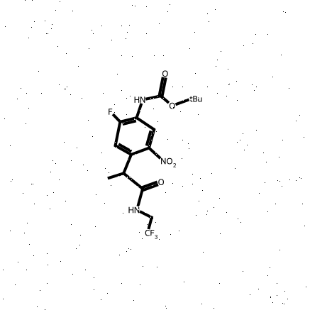 CC(C(=O)NCC(F)(F)F)c1cc(F)c(NC(=O)OC(C)(C)C)cc1[N+](=O)[O-]